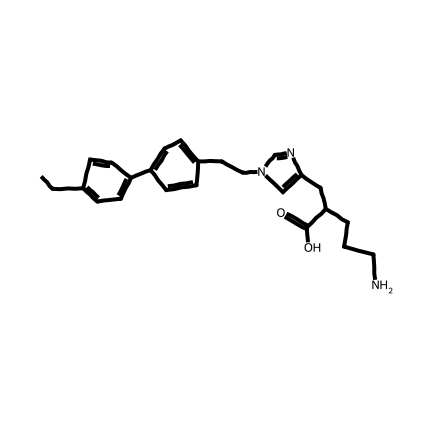 CCc1ccc(-c2ccc(CCn3cnc(CC(CCCN)C(=O)O)c3)cc2)cc1